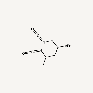 CCCC(CN=C=O)CC(C)N=C=O